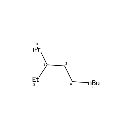 [CH2]C(C)C(CC)CCCCCC